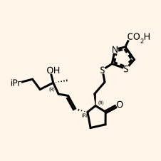 CC(C)CC[C@@](C)(O)CC=C[C@H]1CCC(=O)[C@@H]1CCSc1nc(C(=O)O)cs1